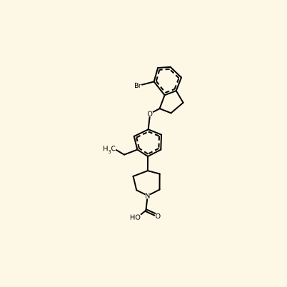 CCc1cc(OC2CCc3cccc(Br)c32)ccc1C1CCN(C(=O)O)CC1